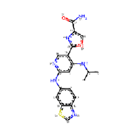 CC(C)Nc1cc(Nc2ccc3ncsc3c2)ncc1-c1nc(C(N)=O)co1